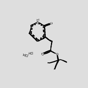 CC(C)(C)OC(=O)Cc1ccc[nH]c1=O.Cl.Cl